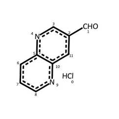 Cl.O=Cc1cnc2cccnc2c1